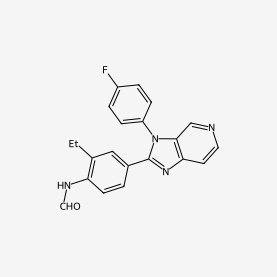 CCc1cc(-c2nc3ccncc3n2-c2ccc(F)cc2)ccc1NC=O